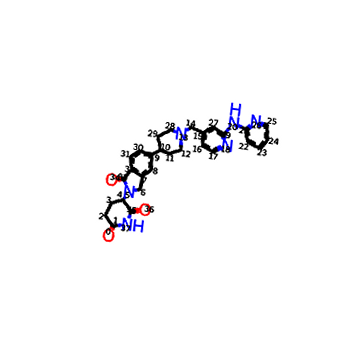 O=C1CCC(N2Cc3cc(C4CCN(Cc5ccnc(Nc6ccccn6)c5)CC4)ccc3C2=O)C(=O)N1